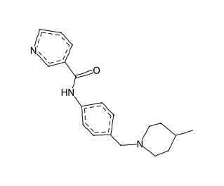 CC1CCN(Cc2ccc(NC(=O)c3cccnc3)cc2)CC1